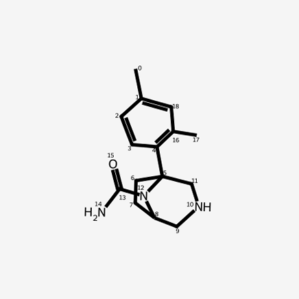 Cc1ccc(C23CCC(CNC2)N3C(N)=O)c(C)c1